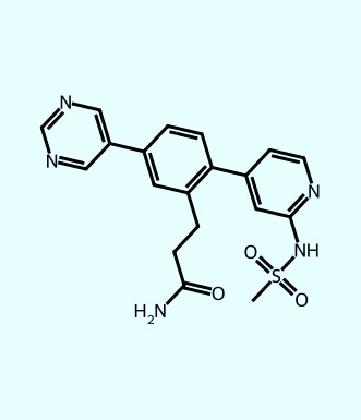 CS(=O)(=O)Nc1cc(-c2ccc(-c3cncnc3)cc2CCC(N)=O)ccn1